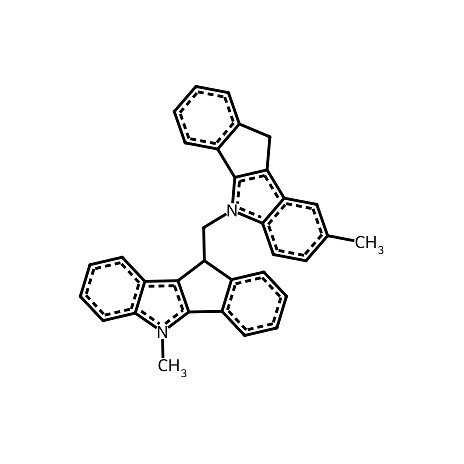 Cc1ccc2c(c1)c1c(n2CC2c3ccccc3-c3c2c2ccccc2n3C)-c2ccccc2C1